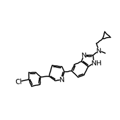 CN(CC1CC1)c1nc2cc(-c3ccc(-c4ccc(Cl)cc4)cn3)ccc2[nH]1